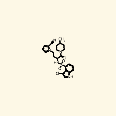 CC1CCN(C(=O)C(CCn2cccc2C#N)NS(=O)(=O)c2cccc3[nH]cc(Cl)c23)CC1